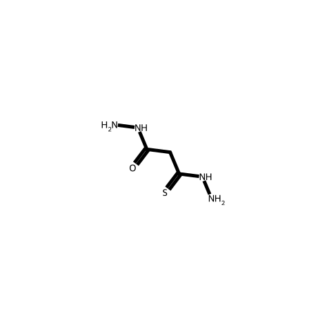 NNC(=O)CC(=S)NN